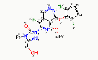 CCn1c(CO)nn(-c2nc(OC(C)C)c3c(Oc4c(F)cccc4Cl)nncc3c2F)c1=O